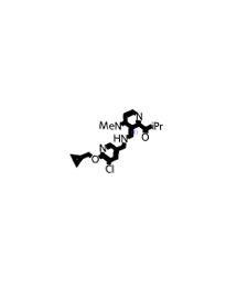 CNC1C=CN=C(C(=O)C(C)C)/C1=C/NCc1cnc(OCC2CC2)c(Cl)c1